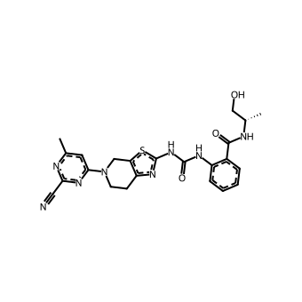 Cc1cc(N2CCc3nc(NC(=O)Nc4ccccc4C(=O)N[C@@H](C)CO)sc3C2)nc(C#N)n1